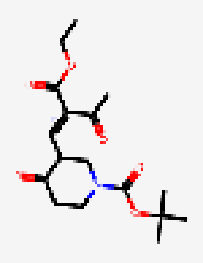 CCOC(=O)/C(=C/C1CN(C(=O)OC(C)(C)C)CCC1=O)C(C)=O